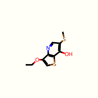 CCOc1csc2c(O)c(SC)cnc12